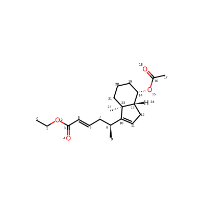 CCOC(=O)/C=C/C[C@H](C)C1=CC[C@H]2[C@@H](OC(C)=O)CCC[C@]12C